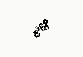 N#CN1C=C(c2ccccc2N2CCN(C(=O)Cn3ccc4cccnc43)CC2)C=NC1